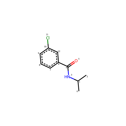 CC(C)NC(=O)c1cccc(Cl)c1